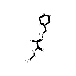 CCOC(=O)/C(I)=N/NCc1ccccc1